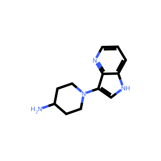 NC1CCN(c2c[nH]c3cccnc23)CC1